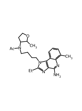 CCc1nc2c(N)nc3c(C)cccc3c2n1CCCCN(C(C)=O)C1CCOC1C